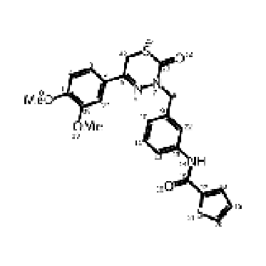 COc1ccc(C2=NN(Cc3cccc(NC(=O)c4cccs4)c3)C(=O)SC2)cc1OC